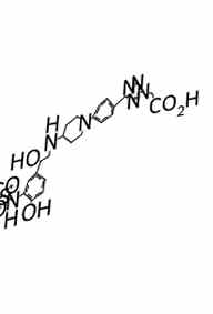 CS(=O)(=O)Nc1cc([C@@H](O)CNC2CCN(c3ccc(-c4nnn(CC(=O)O)n4)cc3)CC2)ccc1O